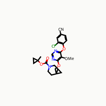 COc1c(OCC23CCN(C(=O)OC4(C)CC4)CC2C3)ncnc1Oc1ccc(C#N)cc1Cl